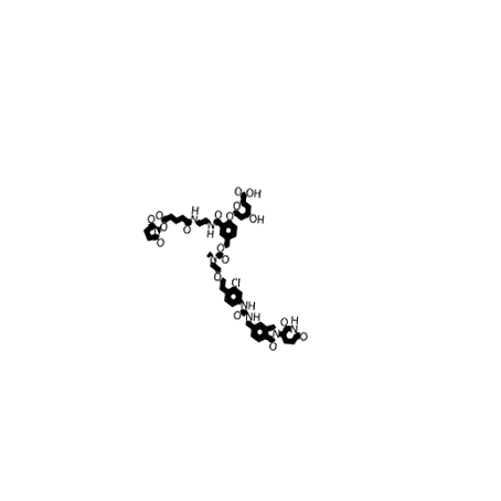 CN(CCOCCc1ccc(NC(=O)NCc2ccc3c(c2)CN(C2CCC(=O)NC2=O)C3=O)cc1Cl)C(=O)OCc1ccc(OC2CC(O)CC(C(=O)O)O2)c(C(=O)NCCNC(=O)CCCC(=O)ON2C(=O)CCC2=O)c1